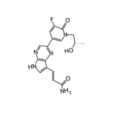 C[C@H](O)Cn1cc(-c2cnc3[nH]cc(C=CC(N)=O)c3n2)cc(F)c1=O